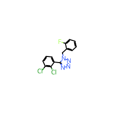 Fc1ccccc1Cn1nnnc1-c1cccc(Cl)c1Cl